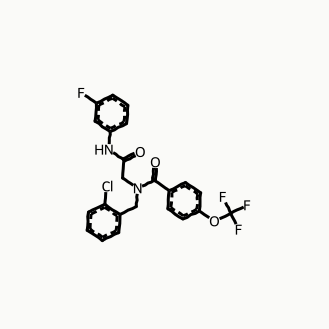 O=C(CN(Cc1ccccc1Cl)C(=O)c1ccc(OC(F)(F)F)cc1)Nc1cccc(F)c1